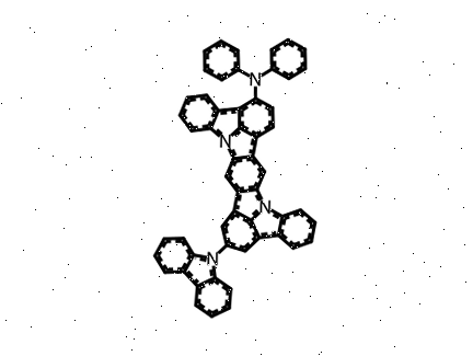 c1ccc(N(c2ccccc2)c2ccc3c4cc5c(cc4n4c6ccccc6c2c34)c2cc(-n3c4ccccc4c4ccccc43)cc3c4ccccc4n5c32)cc1